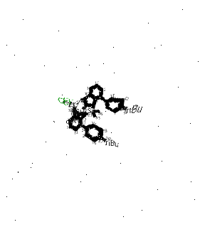 CCCCC1=C2c3c(-c4ccc(CCCC)cc4)cccc3[CH]1[Zr+2][CH]1C(CCCC)=C(c3c(-c4ccc(CCCC)cc4)cccc31)[Si]2(C)C.[Cl-].[Cl-]